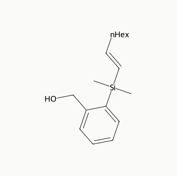 CCCCCCC=C[Si](C)(C)c1ccccc1CO